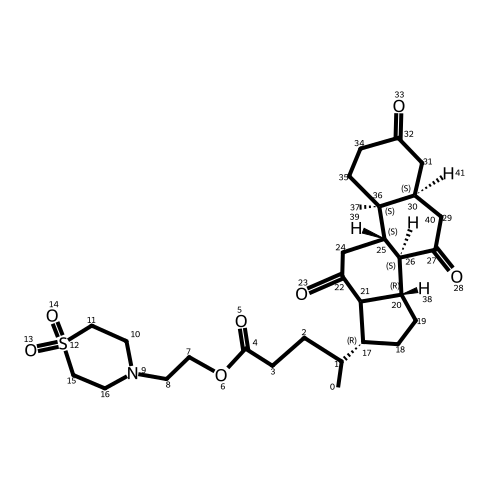 CC(CCC(=O)OCCN1CCS(=O)(=O)CC1)[C@H]1CC[C@@H]2C1C(=O)C[C@H]1[C@H]2C(=O)C[C@@H]2CC(=O)CC[C@@]21C